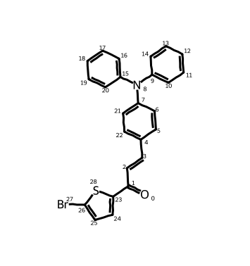 O=C(C=Cc1ccc(N(c2ccccc2)c2ccccc2)cc1)c1ccc(Br)s1